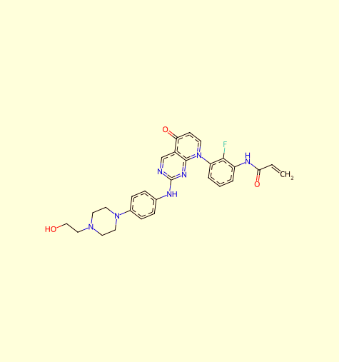 C=CC(=O)Nc1cccc(-n2ccc(=O)c3cnc(Nc4ccc(N5CCN(CCO)CC5)cc4)nc32)c1F